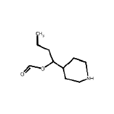 CCCC(O[C]=O)C1CCNCC1